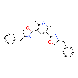 Cc1nc(C)c(C2=N[C@@H](Cc3ccccc3)CO2)cc1C1=N[C@@H](Cc2ccccc2)CO1